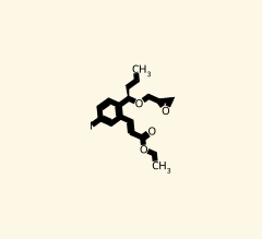 CCC[C@@H](OCC1CO1)c1ccc(I)cc1/C=C/C(=O)OCC